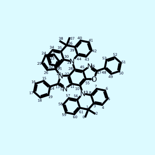 CC1(C)c2ccccc2N(c2c3nc(-c4ccccc4)n(-c4ccccc4)c3c(N3c4ccccc4C(C)(C)c4ccccc43)c3nc(-c4ccccc4)oc23)c2ccccc21